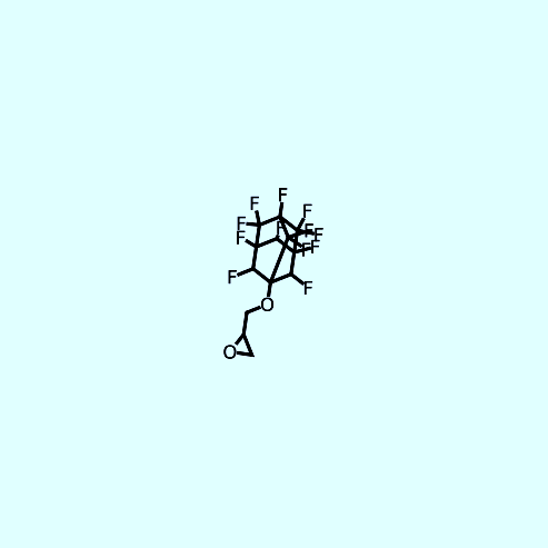 FC1C2(F)C(F)C3(OCC4CO4)C(F)C1(F)C(F)(F)C(F)(C2(F)F)C3(F)F